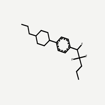 CCCC1CCC(c2ccc(C(F)C(F)(F)CCC)cc2)CC1